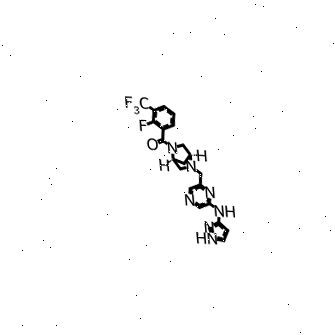 O=C(c1cccc(C(F)(F)F)c1F)N1C[C@@H]2C[C@H]1CN2Cc1cncc(Nc2cc[nH]n2)n1